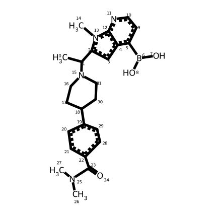 CC(c1cc2c(B(O)O)ccnc2n1C)N1CCC(c2ccc(C(=O)N(C)C)cc2)CC1